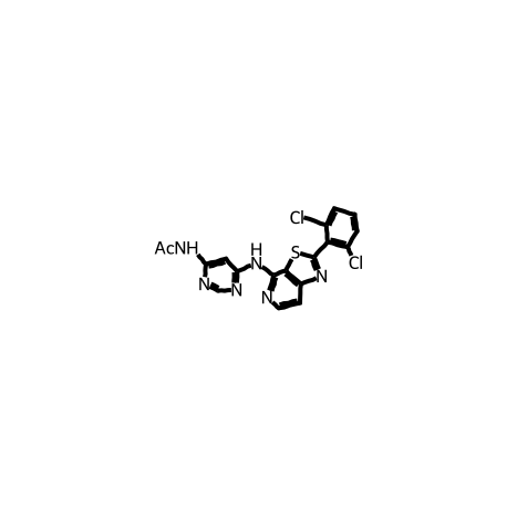 CC(=O)Nc1cc(Nc2nccc3nc(-c4c(Cl)cccc4Cl)sc23)ncn1